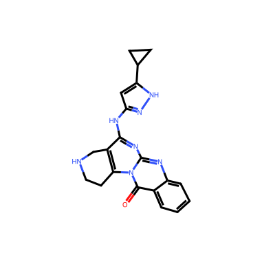 O=c1c2ccccc2nc2nc(Nc3cc(C4CC4)[nH]n3)c3c(n12)CCNC3